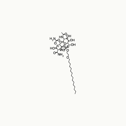 CCCCCCCCCCCCCCCCOCCOP(=O)(O)O[C@H]1OC(C(N)=O)[C@@H](O)[C@H](OC(N)=O)C1O[C@@H]1OC(CO)[C@@H](O)[C@H](O)C1NC(C)=O